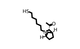 CC(=O)[C@@H]1[C@H]2CC[C@@H](C2)N1CCCCCCS